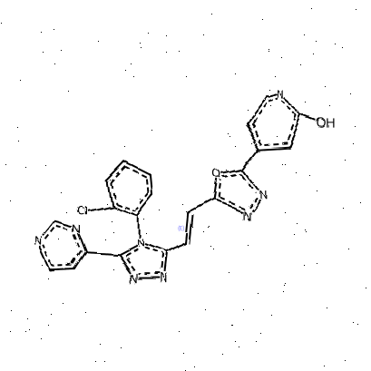 Oc1cc(-c2nnc(/C=C/c3nnc(-c4ccncn4)n3-c3ccccc3Cl)o2)ccn1